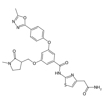 Cc1nnc(-c2ccc(Oc3cc(OCC4CCN(C)C4=O)cc(C(=O)Nc4nc(CC(N)=O)cs4)c3)cc2)o1